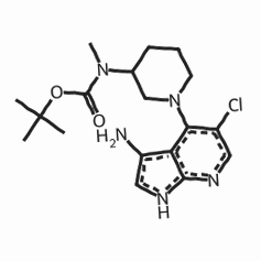 CN(C(=O)OC(C)(C)C)C1CCCN(c2c(Cl)cnc3[nH]cc(N)c23)C1